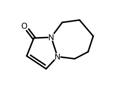 O=c1ccn2n1CCCCC2